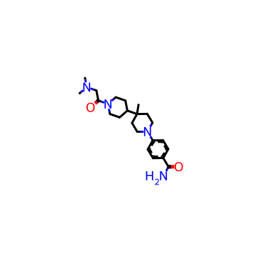 CN(C)CC(=O)N1CCC(C2(C)CCN(c3ccc(C(N)=O)cc3)CC2)CC1